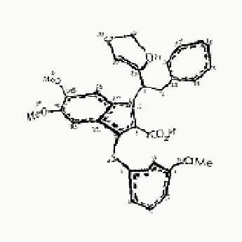 COc1cccc(Sc2c(C(=O)O)n(C(Cc3ccccc3)C3=COCO3)c3cc(OC)c(OC)cc23)c1